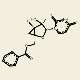 C[C@]1(O)[C@H](n2ccc(=O)[nH]c2=O)O[C@@]2(COC(=O)c3ccccc3)C[C@@]21F